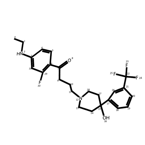 CCNc1ccc(C(=O)CCCN2CCC(O)(c3cccc(C(F)(F)F)c3)CC2)c(F)c1